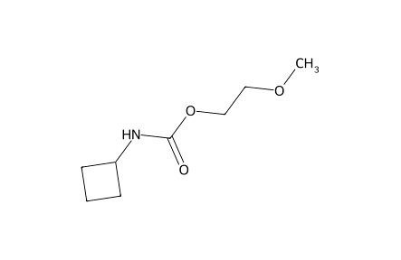 COCCOC(=O)NC1CCC1